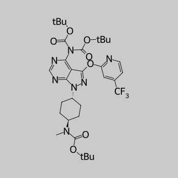 CN(C(=O)OC(C)(C)C)[C@H]1CC[C@H](n2nc(Oc3cc(C(F)(F)F)ccn3)c3c(N(C(=O)OC(C)(C)C)C(=O)OC(C)(C)C)ncnc32)CC1